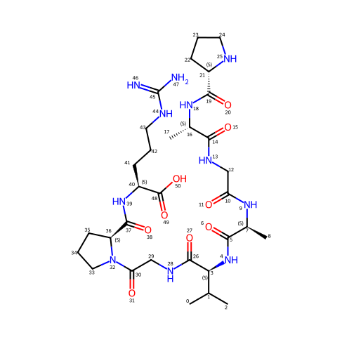 CC(C)[C@H](NC(=O)[C@H](C)NC(=O)CNC(=O)[C@H](C)NC(=O)[C@@H]1CCCN1)C(=O)NCC(=O)N1CCC[C@H]1C(=O)N[C@@H](CCCNC(=N)N)C(=O)O